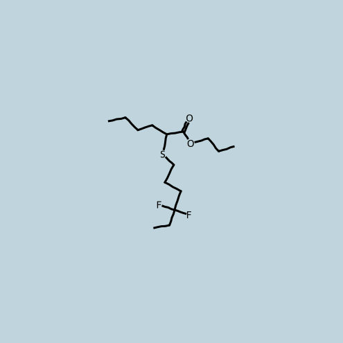 CCCCC(SCCCC(F)(F)CC)C(=O)OCCC